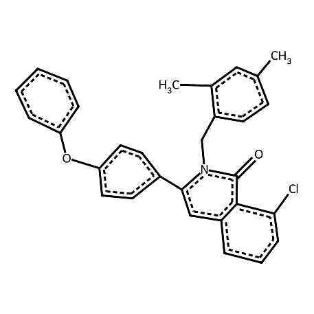 Cc1ccc(Cn2c(-c3ccc(Oc4ccccc4)cc3)cc3cccc(Cl)c3c2=O)c(C)c1